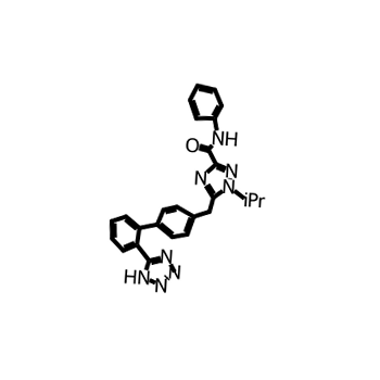 CC(C)n1nc(C(=O)Nc2ccccc2)nc1Cc1ccc(-c2ccccc2-c2nnn[nH]2)cc1